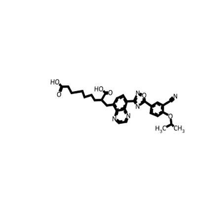 CC(C)Oc1ccc(-c2nc(-c3ccc(CC(CCCCCCC(=O)O)C(=O)O)c4nccnc34)no2)cc1C#N